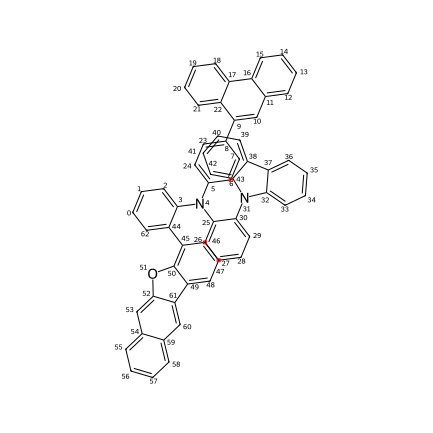 c1ccc(N(c2ccc(-c3cc4ccccc4c4ccccc34)cc2)c2ccccc2-n2c3ccccc3c3ccccc32)c(-c2cccc3c2oc2cc4ccccc4cc23)c1